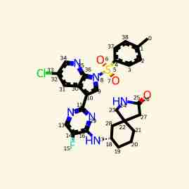 Cc1ccc(S(=O)(=O)n2cc(-c3ncc(F)c(N[C@H]4CCCC5(CNC(=O)C5)C4)n3)c3cc(Cl)cnc32)cc1